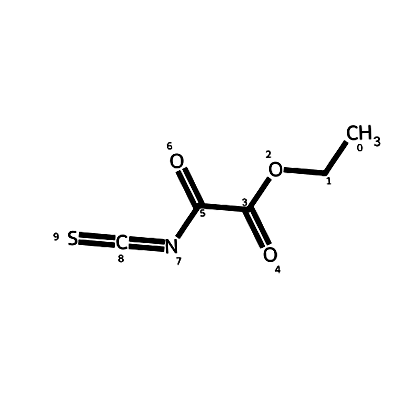 CCOC(=O)C(=O)N=C=S